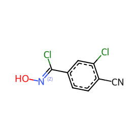 N#Cc1ccc(/C(Cl)=N/O)cc1Cl